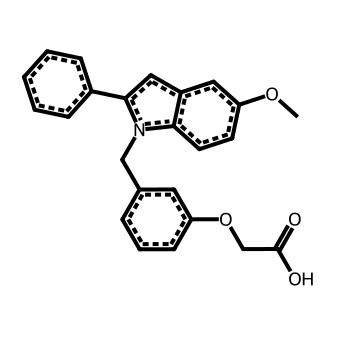 COc1ccc2c(c1)cc(-c1ccccc1)n2Cc1cccc(OCC(=O)O)c1